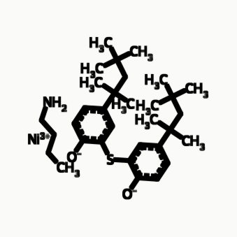 CC(C)(C)CC(C)(C)c1ccc([O-])c(Sc2cc(C(C)(C)CC(C)(C)C)ccc2[O-])c1.CCCCN.[Ni+3]